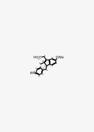 COc1ccc2c(c1)C(CC(=O)O)=C(C)C2Cc1ccc(C(C)C)cc1